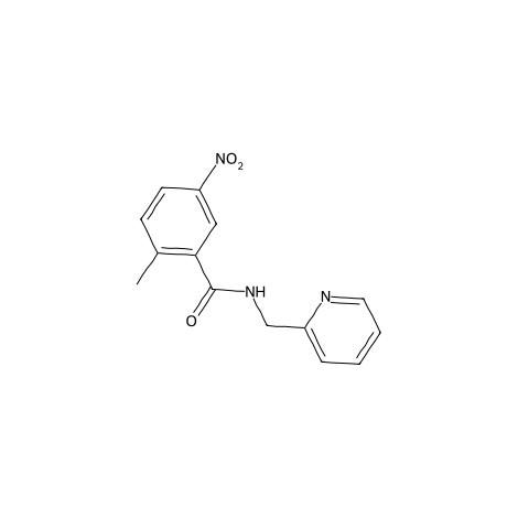 Cc1ccc([N+](=O)[O-])cc1C(=O)NCc1ccccn1